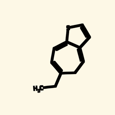 CCC1=CC=c2sccc2=CC1